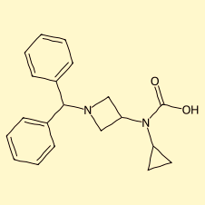 O=C(O)N(C1CC1)C1CN(C(c2ccccc2)c2ccccc2)C1